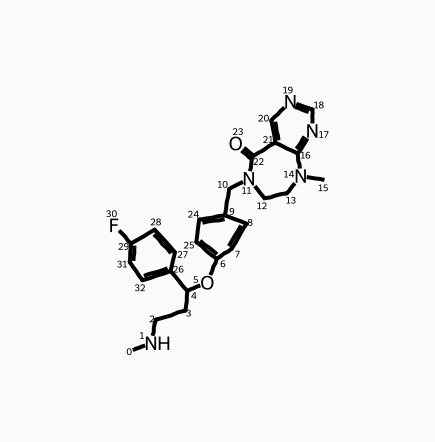 CNCCC(Oc1ccc(CN2CCN(C)c3ncncc3C2=O)cc1)c1ccc(F)cc1